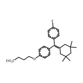 CCOC(=O)CCCOc1ccc(C(=C2CC(C)(C)CC(C)(C)C2)c2ccc(F)cc2)cc1